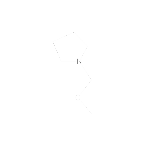 CO[CH]N1CCCC1